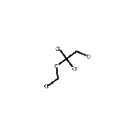 ClCOC(Cl)(Cl)CCl